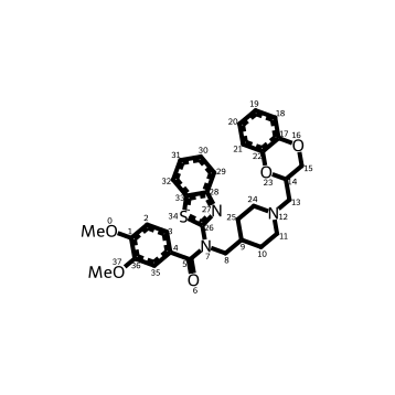 COc1ccc(C(=O)N(CC2CCN(CC3COc4ccccc4O3)CC2)c2nc3ccccc3s2)cc1OC